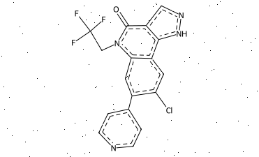 O=c1c2cn[nH]c2c2cc(Cl)c(-c3ccncc3)cc2n1CC(F)(F)F